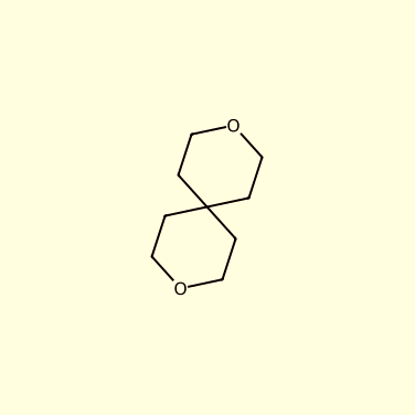 C1CC2(CCO1)CCOCC2